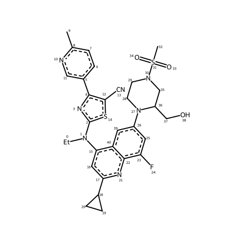 CCN(c1nc(-c2ccc(C)nc2)c(C#N)s1)c1cc(C2CC2)nc2c(F)cc(N3CCN(S(C)(=O)=O)CC3CO)cc12